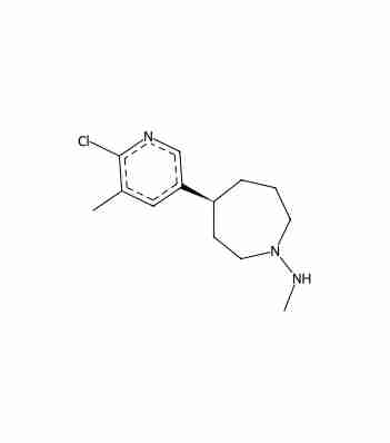 CNN1CCC[C@H](c2cnc(Cl)c(C)c2)CC1